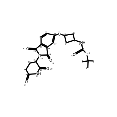 CC(C)(C)OC(=O)NC1CC(Oc2ccc3c(c2)C(=O)N(C2CCC(=O)NC2=O)C3=O)C1